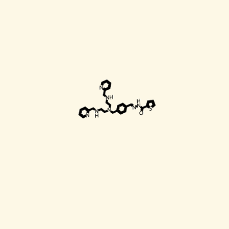 O=C(N/N=C/c1ccc(CN(CCNCc2ccccn2)CCNCc2ccccn2)cc1)c1cccs1